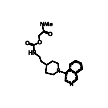 CNC(=O)COC(=O)NCCC1CCN(c2cncc3ccccc23)CC1